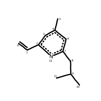 C=Cc1cc(C)cc(CC(C)C)n1